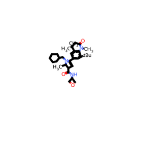 CC1C(C(=O)NC2COC2)C=C(c2cc(C(C)(C)C)c3c(c2)C(C)(C)CC(=O)N3C)N1CC1CCCCC1